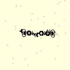 CN(CCN1CCN(C(=O)OC(C)(C)C)CC1)CC1CCN(c2ccc([N+](=O)[O-])nc2)CC1